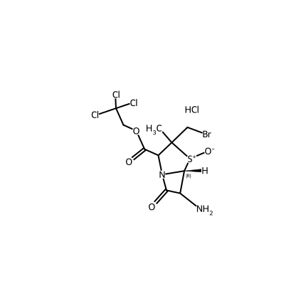 CC1(CBr)C(C(=O)OCC(Cl)(Cl)Cl)N2C(=O)C(N)[C@H]2[S+]1[O-].Cl